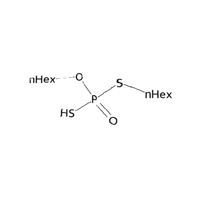 CCCCCCOP(=O)(S)SCCCCCC